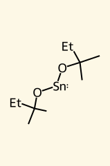 CCC(C)(C)[O][Sn][O]C(C)(C)CC